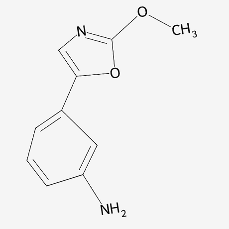 COc1ncc(-c2cccc(N)c2)o1